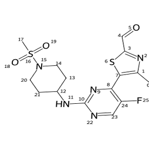 Cc1nc(C=O)sc1-c1nc(NC2CCN(S(C)(=O)=O)CC2)ncc1F